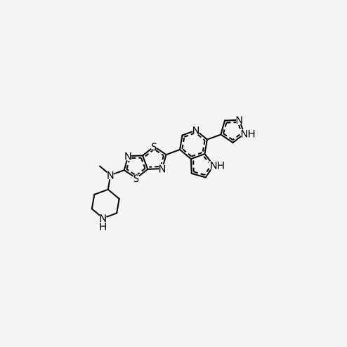 CN(c1nc2sc(-c3cnc(-c4cn[nH]c4)c4[nH]ccc34)nc2s1)C1CCNCC1